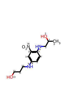 CC(O)CNc1ccc(NCCCO)cc1[N+](=O)[O-]